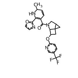 CC1C=CC(C(=O)N2CC3CC34CC(Oc3ccc(C(F)(F)F)cn3)C24)=C(c2ncco2)N1